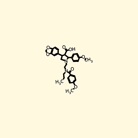 CCCN(CCN1CC(c2ccc3c(c2)OCO3)C(C(=O)O)C1c1ccc(OC)cc1)C(=O)c1ccc(OC)cc1